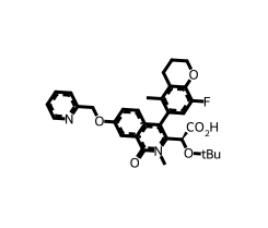 Cc1c(-c2c([C@H](OC(C)(C)C)C(=O)O)n(C)c(=O)c3cc(OCc4ccccn4)ccc23)cc(F)c2c1CCCO2